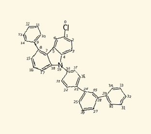 Clc1ccc2c(c1)c1c(-c3ccccc3)cccc1n2-c1ccc(-c2cccc(-c3ccccc3)c2)cc1